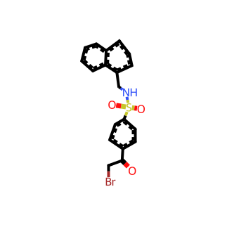 O=C(CBr)c1ccc(S(=O)(=O)NCc2cccc3ccccc23)cc1